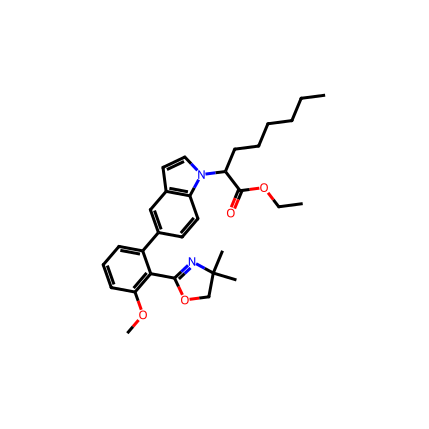 CCCCCCC(C(=O)OCC)n1ccc2cc(-c3cccc(OC)c3C3=NC(C)(C)CO3)ccc21